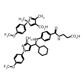 CC1=N[N+](C)(c2ccc(OC(F)(F)F)cc2)C=C1C(=O)O.Cc1nn(-c2ccc(OC(F)(F)F)cc2)cc1C(Nc1ccc(C(=O)NCCC(=O)O)cc1)C1CCCCC1